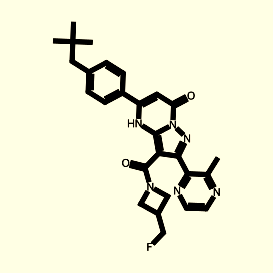 Cc1nccnc1-c1nn2c(=O)cc(-c3ccc(CC(C)(C)C)cc3)[nH]c2c1C(=O)N1CC(CF)C1